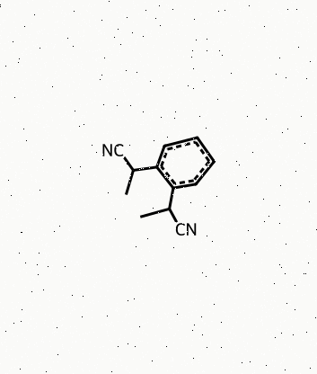 CC(C#N)c1ccccc1C(C)C#N